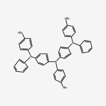 CCCCc1ccc(N(c2ccccc2)c2ccc(N(c3ccc(C(C)CC)cc3)c3ccc(N(c4ccccc4)c4ccc(CCCC)cc4)cc3)cc2)cc1